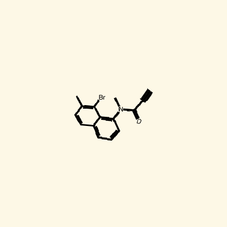 C#CC(=O)N(C)c1cccc2ccc(C)c(Br)c12